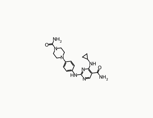 NC(=O)c1cnc(Nc2ccc(N3CCN(C(N)=O)CC3)cc2)nc1NC1CC1